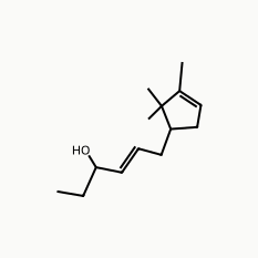 CCC(O)C=CCC1CC=C(C)C1(C)C